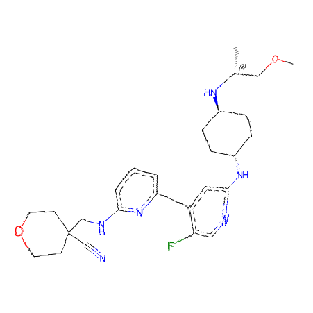 COC[C@@H](C)N[C@H]1CC[C@H](Nc2cc(-c3cccc(NCC4(C#N)CCOCC4)n3)c(F)cn2)CC1